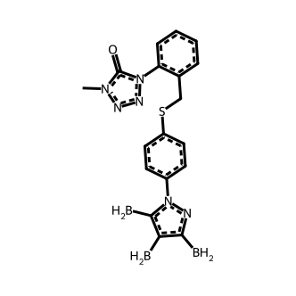 Bc1nn(-c2ccc(SCc3ccccc3-n3nnn(C)c3=O)cc2)c(B)c1B